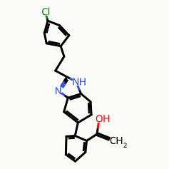 C=C(O)c1ccccc1-c1ccc2[nH]c(CCc3ccc(Cl)cc3)nc2c1